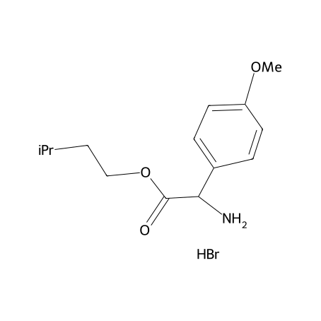 Br.COc1ccc(C(N)C(=O)OCCC(C)C)cc1